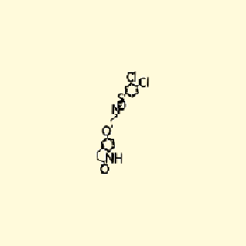 O=C1CCc2cc(OCCC=NOSc3ccc(Cl)c(Cl)c3)ccc2N1